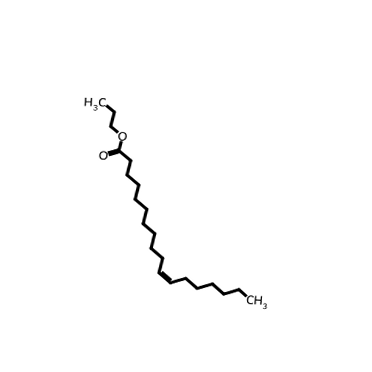 CCCCCC/C=C\CCCCCCCCCC(=O)OCCC